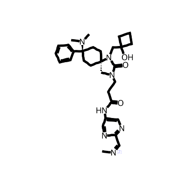 C/N=C\c1ncc(NC(=O)CCN2C[C@]3(CC[C@](c4ccccc4)(N(C)C)CC3)N(CC3(O)CCC3)C2=O)cn1